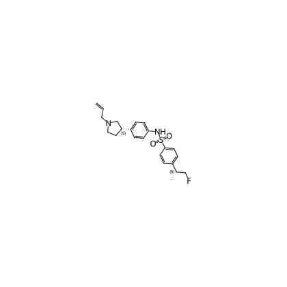 C=CCN1CC[C@@H](c2ccc(NS(=O)(=O)c3ccc([C@@H](C)CF)cc3)cc2)C1